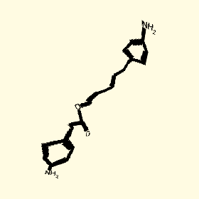 Nc1ccc([CH]C(=O)OC=CC=CCc2ccc(N)cc2)cc1